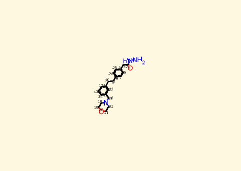 NNC(=O)Cc1ccc(CCc2cccc(CN3CCOCC3)c2)cc1